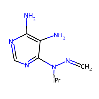 C=NN(c1ncnc(N)c1N)C(C)C